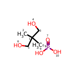 CC(C)(CO)CO.O=[PH](O)O